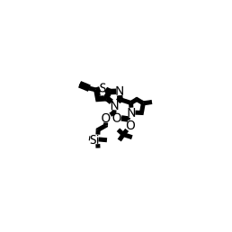 C#Cc1cc2c(nc(C3CC(C)CN3C(=O)OC(C)(C)C)n2COCC[Si](C)(C)C)s1